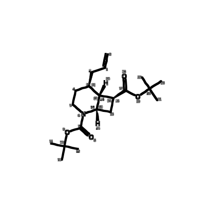 C=CC[C@@H]1CCN(C(=O)OC(C)(C)C)[C@H]2C[C@H](C(=O)OC(C)(C)C)[C@@H]12